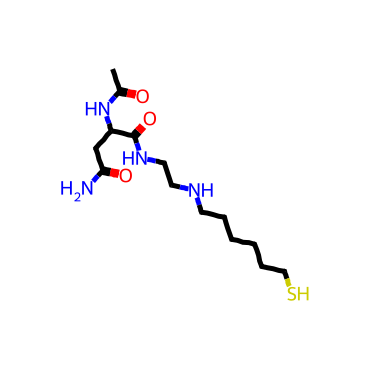 CC(=O)NC(CC(N)=O)C(=O)NCCNCCCCCCS